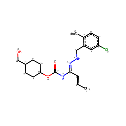 C/C=C/C(=N\NCc1cc(Cl)ccc1OCC(C)C)NC(=O)OC1CCC(CO)CC1